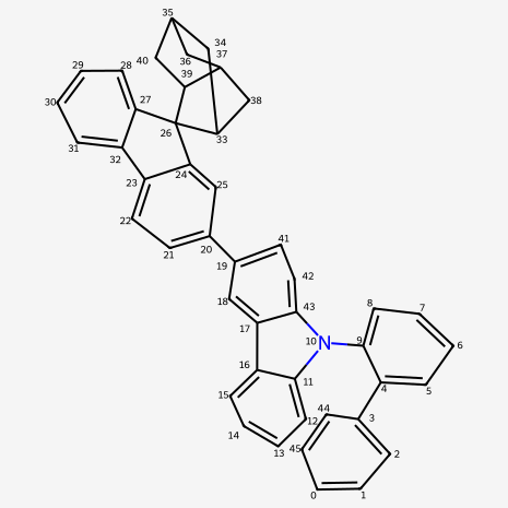 c1ccc(-c2ccccc2-n2c3ccccc3c3cc(-c4ccc5c(c4)C4(c6ccccc6-5)C5CC6CC(C5)C4C6)ccc32)cc1